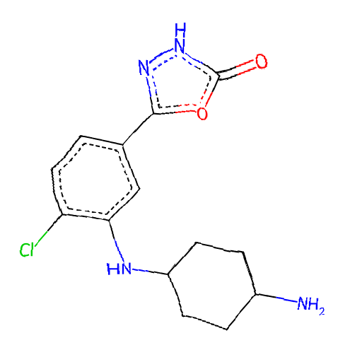 NC1CCC(Nc2cc(-c3n[nH]c(=O)o3)ccc2Cl)CC1